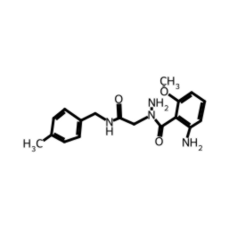 COc1cccc(N)c1C(=O)N(N)CC(=O)NCc1ccc(C)cc1